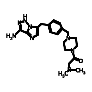 CN(C)CC(=O)N1CCN(Cc2ccc(Cc3cnc4c(N)n[nH]n34)cc2)CC1